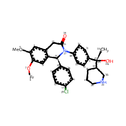 COc1cc2c(cc1OC(C)C)[C@H](c1ccc(Cl)cc1)N(c1ccc([C@](C)(O)C3CCCNC3)cc1)C(=O)C2